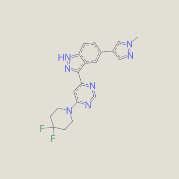 Cn1cc(-c2ccc3[nH]nc(-c4cc(N5CCC(F)(F)CC5)ncn4)c3c2)cn1